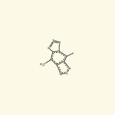 Cc1c2c(c(I)c3nsnc13)N=S=N2